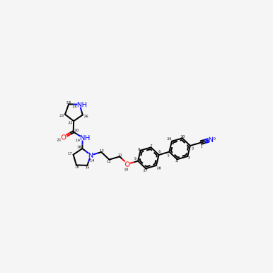 N#Cc1ccc(-c2ccc(OCCCN3CCCC3NC(=O)C3CCNC3)cc2)cc1